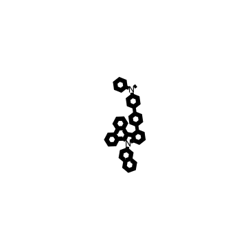 CN(c1ccccc1)c1ccc(-c2ccc(-c3cccc4c3c3c5ccccc5c5ccccc5c3n4-c3ccc4ccccc4c3)cc2)cc1